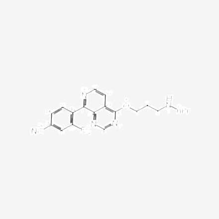 CCCNCCCOc1ncnc2c(-c3ccc(C#N)cc3F)nccc12